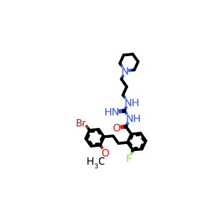 COc1ccc(Br)cc1CCc1c(F)cccc1C(=O)NC(=N)NCCCN1CCCCC1